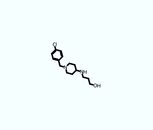 OCCCNC1CCN(Cc2ccc(Cl)cc2)CC1